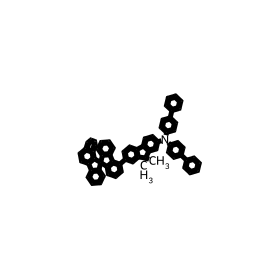 CC1(C)c2cc(-c3cccc4c3-c3ccccc3C43c4ccccc4-c4ccc5ccccc5c43)ccc2-c2ccc(N(c3ccc(-c4ccccc4)cc3)c3ccc(-c4ccccc4)cc3)cc21